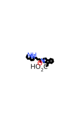 O=C(O)CC1c2ccccc2C2CCN(C(=O)CCCc3ccc4c(n3)NCCC4)CC21